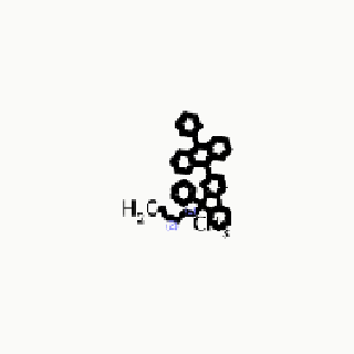 C=C/C=C\C=C(/C)C1(c2ccccc2)c2ccccc2-c2ccc(-c3c4ccccc4c(-c4ccccc4)c4ccccc34)cc21